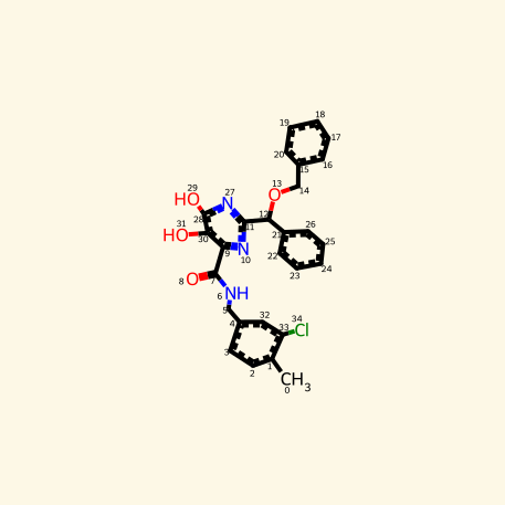 Cc1ccc(CNC(=O)c2nc(C(OCc3ccccc3)c3ccccc3)nc(O)c2O)cc1Cl